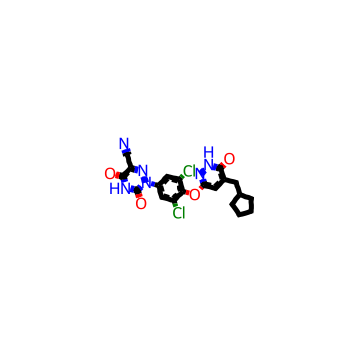 N#Cc1nn(-c2cc(Cl)c(Oc3cc(CC4CCCC4)c(=O)[nH]n3)c(Cl)c2)c(=O)[nH]c1=O